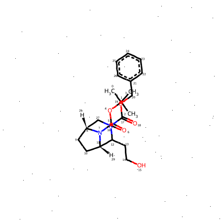 CC(C)(C)OC(=O)N1[C@@H]2CC[C@H]1C(CCO)N(C(=O)OCc1ccccc1)C2